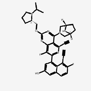 C#Cc1c(F)ccc2cc(O)cc(-c3nc(C#C)c4c(N5C[C@H]6CC[C@@H](C5)N6)nc(OC[C@@H]5CCCN5C(C)C)nc4c3F)c12